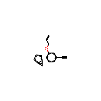 C#Cc1cccc(OCC=C)c1.c1cc2cc-2c1